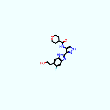 O=C(Nc1c[nH]nc1-c1nc2cc(F)c(CCO)cc2[nH]1)C1CCOCC1